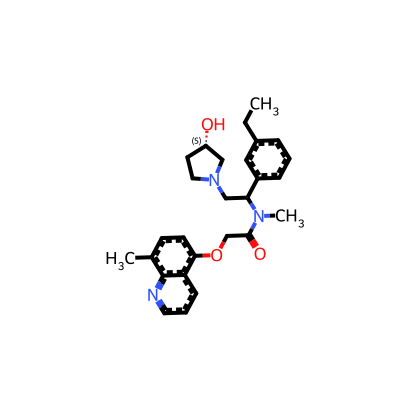 CCc1cccc(C(CN2CC[C@H](O)C2)N(C)C(=O)COc2ccc(C)c3ncccc23)c1